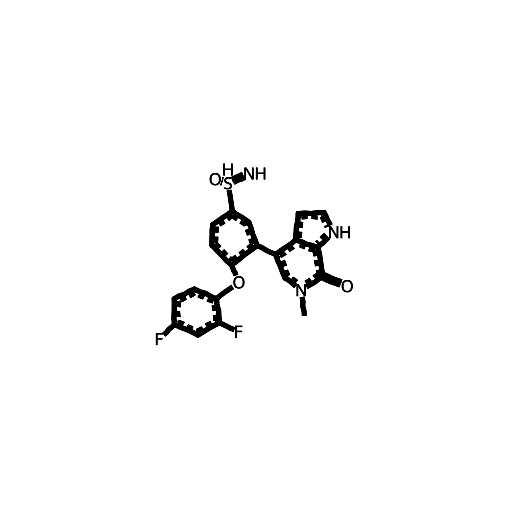 Cn1cc(-c2cc([SH](=N)=O)ccc2Oc2ccc(F)cc2F)c2cc[nH]c2c1=O